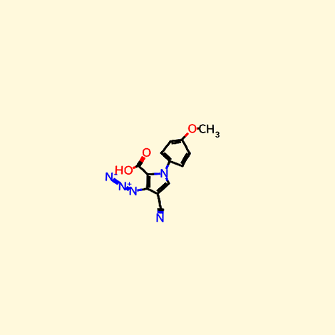 COc1ccc(-n2cc(C#N)c(N=[N+]=[N-])c2C(=O)O)cc1